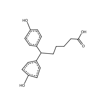 O=C(O)CCCCC(c1ccc(O)cc1)c1ccc(O)cc1